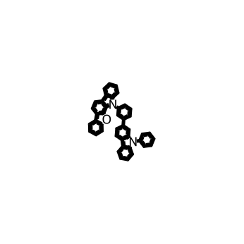 c1ccc(-n2c3ccccc3c3ccc(-c4cccc(-n5c6ccccc6c6ccc7c8ccccc8oc7c65)c4)cc32)cc1